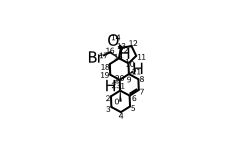 C[C@]12CCCCC1=CC[C@H]1[C@@H]3CCC(=O)[C@@]3(CBr)CC[C@@H]12